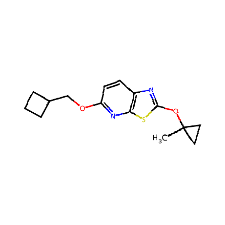 CC1(Oc2nc3ccc(OCC4CCC4)nc3s2)CC1